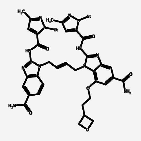 CCn1nc(C)cc1C(=O)Nc1nc2cc(C(N)=O)ccc2n1CC=CCn1c(NC(=O)c2cc(C)nn2CC)nc2cc(C(N)=O)cc(OCCC3COC3)c21